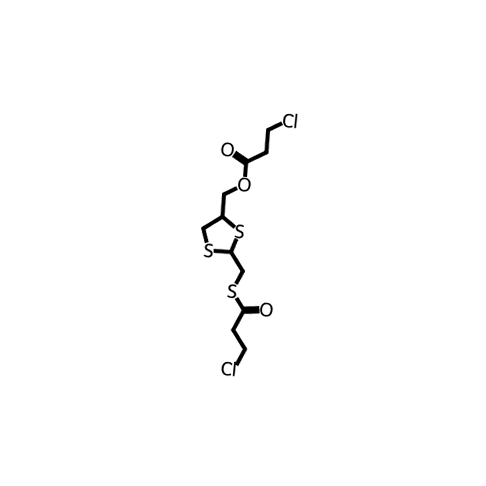 O=C(CCCl)OCC1CSC(CSC(=O)CCCl)S1